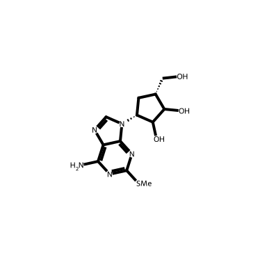 CSc1nc(N)c2ncn([C@@H]3C[C@H](CO)C(O)C3O)c2n1